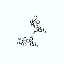 COc1cc(C(C)=O)c(C)cc1OCCCCCOc1cc2c(cc1OC)C(=O)N1c3ccccc3C[C@H]1C=N2